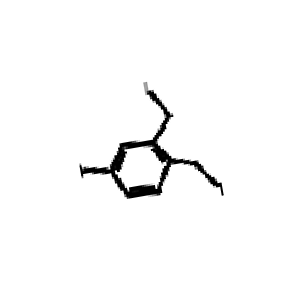 ICc1ccc(I)cc1CI